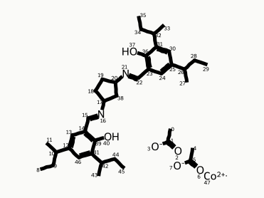 CC(=O)[O-].CC(=O)[O-].CCC(C)c1cc(C=NC2CCC(N=Cc3cc(C(C)CC)cc(C(C)CC)c3O)C2)c(O)c(C(C)CC)c1.[Co+2]